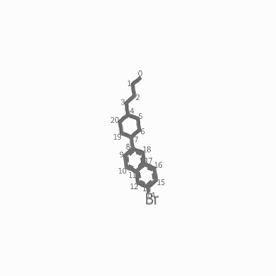 CCCCC1CCC(c2ccc3cc(Br)ccc3c2)CC1